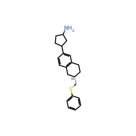 NC1CCC(c2ccc3c(c2)CC[C@H](CSc2ccccc2)C3)C1